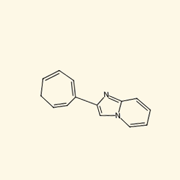 C1=CCC=CC(c2cn3ccccc3n2)=C1